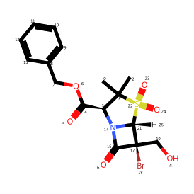 CC1(C)[C@H](C(=O)OCc2ccccc2)N2C(=O)[C@@](Br)(CO)[C@H]2S1(=O)=O